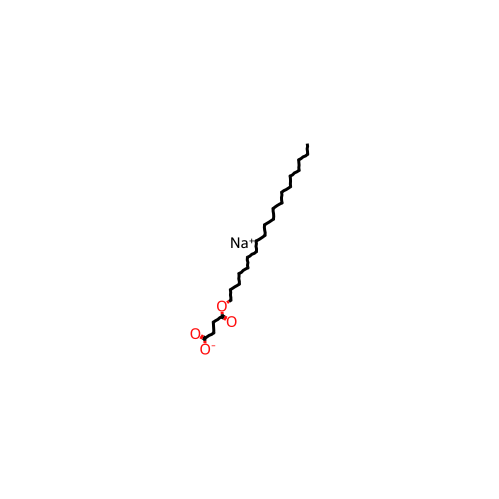 CCCCCCCCCCCCCCCCCCCCOC(=O)CCC(=O)[O-].[Na+]